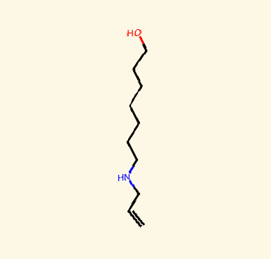 C=CCNCCCCCCCO